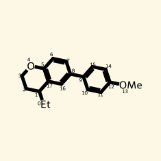 CCC1CCOc2ccc(-c3ccc(OC)cc3)cc21